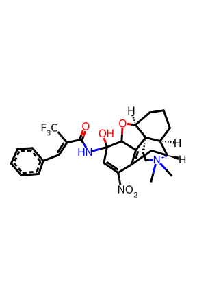 C[N+]1(C)CC[C@@]23C4=C5C[C@@H]1[C@@H]2CCC[C@@H]3OC4C(O)(NC(=O)C(=Cc1ccccc1)C(F)(F)F)C=C5[N+](=O)[O-]